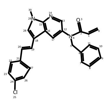 C=CC(=O)N(Cc1ccccc1)c1cnc2c(c1)c(/C=C/c1ccc(Cl)cc1)cn2C